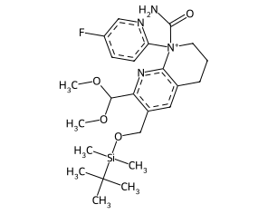 COC(OC)c1nc2c(cc1CO[Si](C)(C)C(C)(C)C)CCC[N+]2(C(N)=O)c1ccc(F)cn1